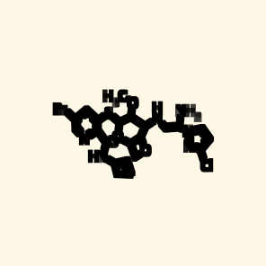 COC1C(Sc2cc(Br)cnc2C(=O)NC23CC(C2)C3)OC2COC2C1N/C=C(\N)n1ccc(Cl)n1